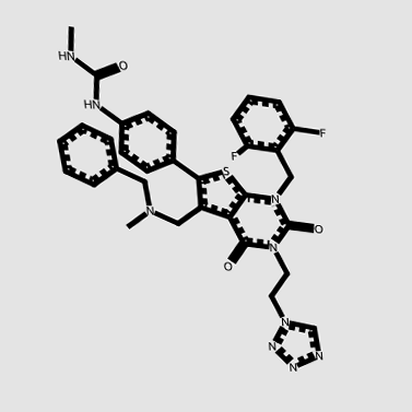 CNC(=O)Nc1ccc(-c2sc3c(c2CN(C)Cc2ccccc2)c(=O)n(CCn2cnnn2)c(=O)n3Cc2c(F)cccc2F)cc1